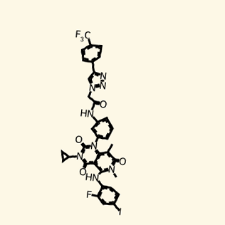 Cc1c(=O)n(C)c(Nc2ccc(I)cc2F)c2c(=O)n(C3CC3)c(=O)n(-c3cccc(NC(=O)Cn4cc(-c5ccc(C(F)(F)F)cc5)nn4)c3)c12